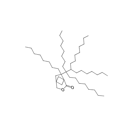 CCCCCCCCC(CCCCCCC)C(CCCCCCCC)(CCCCCCCC)C1(CCCCCCCC)CC23COC(=O)C1(C2)C3